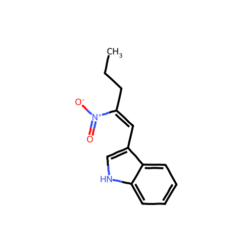 CCCC(=Cc1c[nH]c2ccccc12)[N+](=O)[O-]